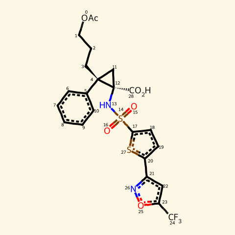 CC(=O)OCCC[C@@]1(c2ccccc2)C[C@]1(NS(=O)(=O)c1ccc(-c2cc(C(F)(F)F)on2)s1)C(=O)O